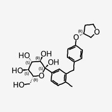 Cc1ccc([C@]2(O)O[C@H](CO)[C@@H](O)[C@H](O)[C@H]2O)cc1Cc1ccc(O[C@@H]2CCOC2)cc1